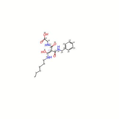 CCCCCCN/C(O)=C(/C(=O)NCC(=O)O)C(=O)NCc1ccccc1